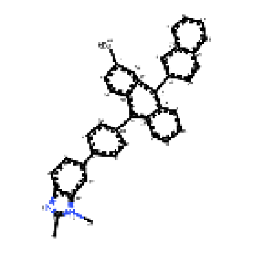 Cc1nc2ccc(-c3ccc(-c4c5ccccc5c(-c5ccc6ccccc6c5)c5cc(C(C)(C)C)ccc45)cc3)cc2n1C